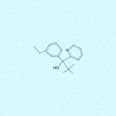 CCc1cccc(C(O)(c2ccccn2)C(C)(C)C)c1